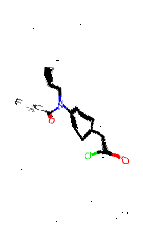 C=CCN(C(=O)C(F)(F)F)c1ccc(CC(=O)Cl)cc1